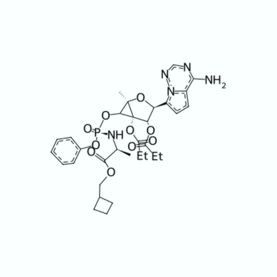 CCC(=O)O[C@H]1[C@H](c2ccc3c(N)ncnn23)O[C@]2(C)C(O[P@](=O)(N[C@@H](C)C(=O)OCC3CCC3)Oc3ccccc3)[C@]12OC(=O)CC